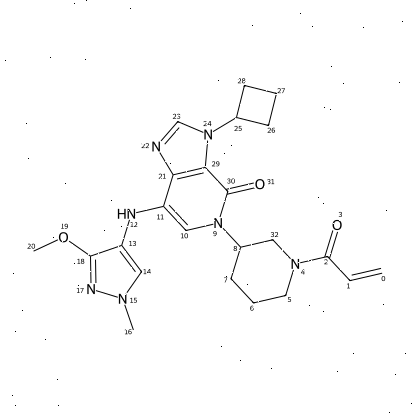 C=CC(=O)N1CCCC(n2cc(Nc3cn(C)nc3OC)c3ncn(C4CCC4)c3c2=O)C1